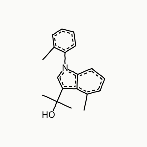 Cc1ccccc1-n1cc(C(C)(C)O)c2c(C)cccc21